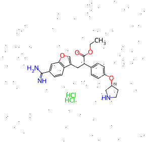 CCOC(=O)C(Cc1coc2cc(C(=N)N)ccc12)c1ccc(O[C@H]2CCNC2)cc1.Cl.Cl